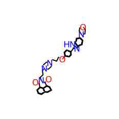 O=C1c2cccc3cccc(c23)C(=O)N1CCCN1CCN(CCCOc2ccc(-c3nc4ccc(N5CCOCC5)cc4[nH]3)cc2)CC1